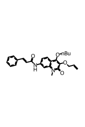 C=CCOc1c(OCCCC)c2ccc(NC(=O)C=Cc3ccccc3)cc2n(C)c1=O